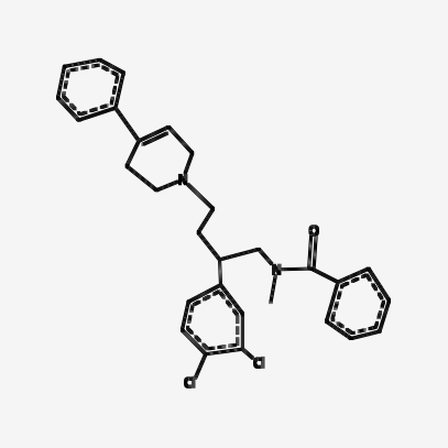 CN(CC(CCN1CC=C(c2ccccc2)CC1)c1ccc(Cl)c(Cl)c1)C(=O)c1ccccc1